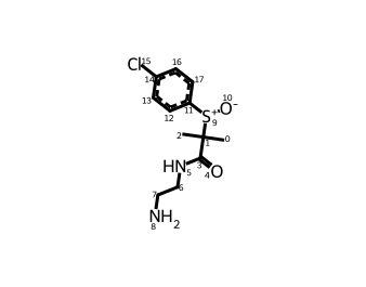 CC(C)(C(=O)NCCN)[S+]([O-])c1ccc(Cl)cc1